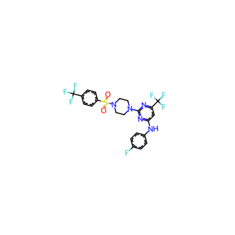 O=S(=O)(c1ccc(C(F)(F)F)cc1)N1CCN(c2nc(Nc3ccc(F)cc3)cc(C(F)(F)F)n2)CC1